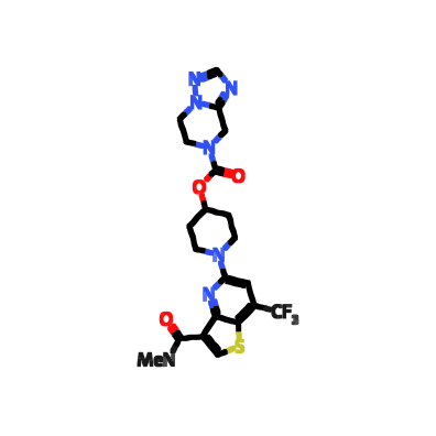 CNC(=O)c1csc2c(C(F)(F)F)cc(N3CCC(OC(=O)N4CCn5ncnc5C4)CC3)nc12